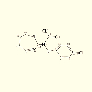 O=C(Cl)N(Cc1ccc(Cl)cc1)C1C=CCCCC1